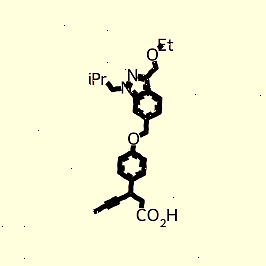 CC#CC(CC(=O)O)c1ccc(OCc2ccc3c(COCC)nn(CC(C)C)c3c2)cc1